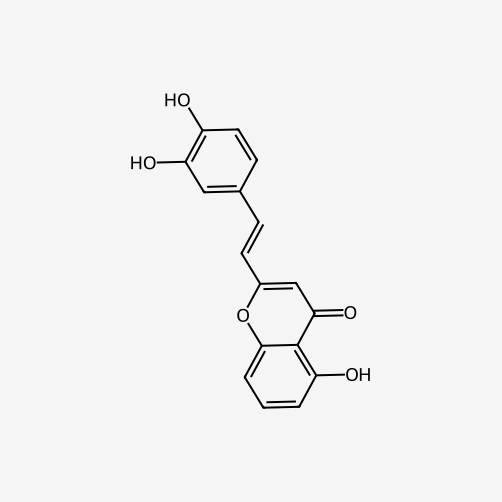 O=c1cc(C=Cc2ccc(O)c(O)c2)oc2cccc(O)c12